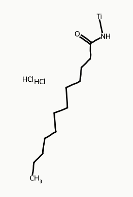 CCCCCCCCCCCC(=O)[NH][Ti].Cl.Cl